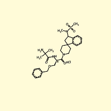 CN(C1CC2(CCN(C(=O)[C@@H](COCc3ccccc3)NC(=O)C(C)(C)N)CC2)c2ccccc21)S(C)(=O)=O.Cl